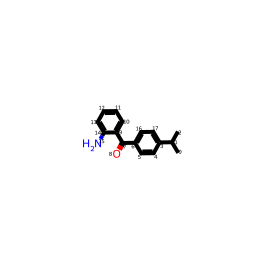 CC(C)c1ccc(C(=O)c2ccccc2N)cc1